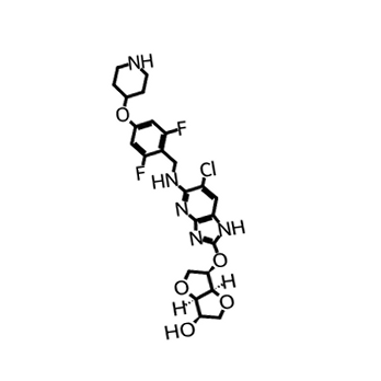 O[C@@H]1CO[C@H]2[C@@H]1OC[C@H]2Oc1nc2nc(NCc3c(F)cc(OC4CCNCC4)cc3F)c(Cl)cc2[nH]1